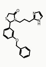 O=C1CSC(c2cccc(OCc3ccccc3)c2)N1CCCc1ncc[nH]1